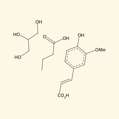 CCCC(=O)O.COc1cc(/C=C/C(=O)O)ccc1O.OCC(O)CO